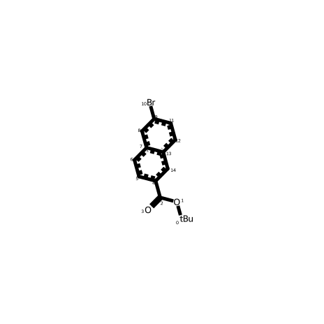 CC(C)(C)OC(=O)c1ccc2cc(Br)ccc2c1